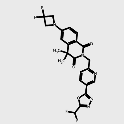 CC1(C)C(=O)N(Cc2ccc(-c3nnc(C(F)F)o3)cn2)C(=O)c2ccc(N3CC(F)(F)C3)cc21